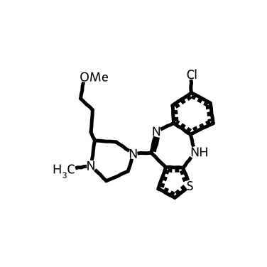 COCCCC1CN(C2=Nc3cc(Cl)ccc3Nc3sccc32)CCN1C